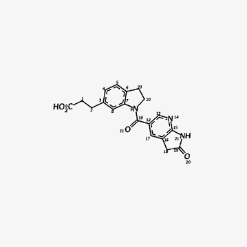 O=C(O)CCc1ccc2c(c1)N(C(=O)c1cnc3c(c1)CC(=O)N3)CC2